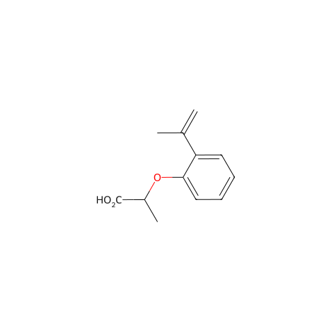 C=C(C)c1ccccc1OC(C)C(=O)O